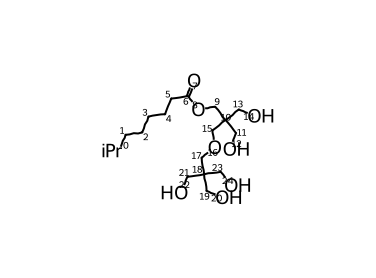 CC(C)CCCCCC(=O)OCC(CO)(CO)COCC(CO)(CO)CO